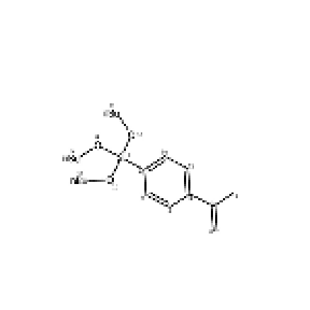 C=C(C)c1ccc([Si](OCCCC)(OCCCC)OCCCC)cc1